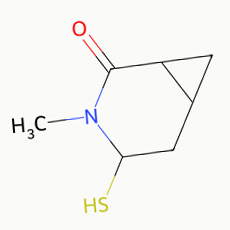 CN1C(=O)C2CC2CC1S